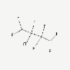 F[C](F)C(F)(F)C(F)(Cl)[C](F)F